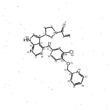 C=CC(=O)N1CCC(c2c[nH]c3ncnc(Nc4ccc(OCc5ccccn5)c(Cl)c4)c23)C1